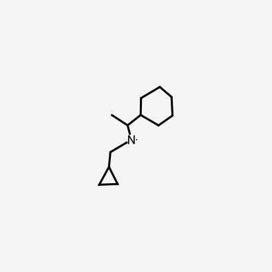 CC([N]CC1CC1)C1CCCCC1